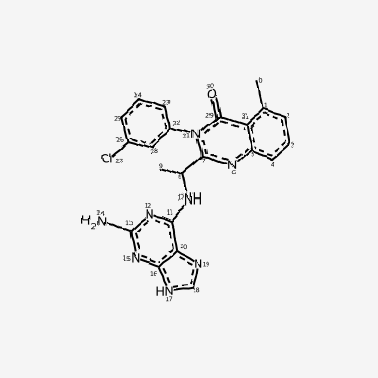 Cc1cccc2nc(C(C)Nc3nc(N)nc4[nH]cnc34)n(-c3cccc(Cl)c3)c(=O)c12